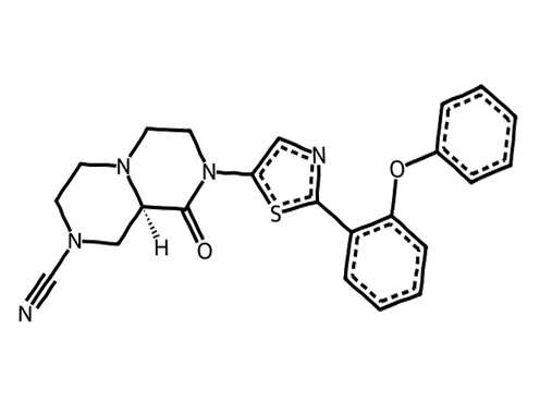 N#CN1CCN2CCN(c3cnc(-c4ccccc4Oc4ccccc4)s3)C(=O)[C@H]2C1